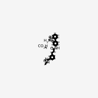 CC(=O)O.Cc1nc(-c2cccc(CCC(=O)Nc3ccc(-c4ccccc4S(N)(=O)=O)cc3)c2)no1